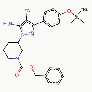 CC(C)(C)[Si](C)(C)Oc1ccc(-c2nn(C3CCCN(C(=O)OCc4ccccc4)C3)c(N)c2C#N)cc1